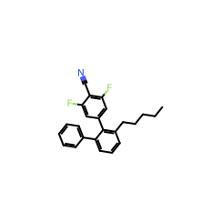 CCCCCc1cccc(-c2ccccc2)c1-c1cc(F)c(C#N)c(F)c1